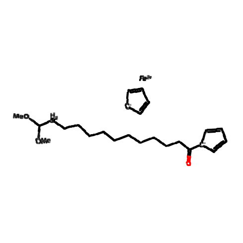 COC(OC)[SiH2]CCCCCCCCCCC(=O)[c-]1cccc1.[Fe+2].c1cc[cH-]c1